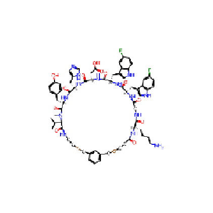 CC(C)C1C(=O)NCCSCc2cccc(c2)CSCCC(=O)N[C@@H](CCCCN)C(=O)NCC(=O)N[C@@H](Cc2c[nH]c3ccc(F)cc23)C(=O)N[C@@H](Cc2c[nH]c3ccc(F)cc23)C(=O)N[C@@H](CC(=O)O)C(=O)N[C@@H](Cc2cnc[nH]2)C(=O)N[C@@H](Cc2ccc(O)cc2)C(=O)N1C